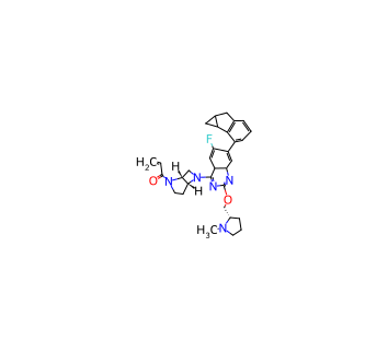 C=CC(=O)N1CC[C@@H]2[C@H]1CN2C1=NC(OC[C@@H]2CCCN2C)=NC2C=C(c3cccc4c3C3CC3C4)C(F)=CC12